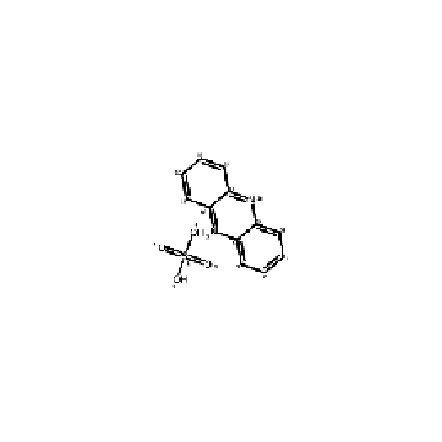 O=S(=O)(O)O.c1ccc2nc3ccccc3nc2c1